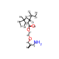 C=C(CN)COCCOC(=O)C[C@@](C)(CC(C)(CC)CC)[C@@H](C)CC